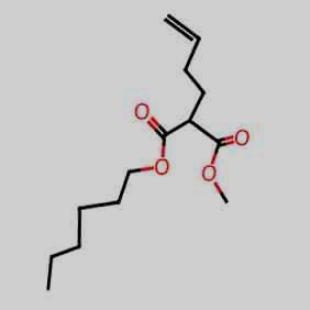 C=CCCC(C(=O)OC)C(=O)OCCCCCC